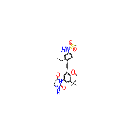 CCc1cc(NS(C)(=O)=O)ccc1C#Cc1cc(N2C(=O)CCNC2=O)cc(C(C)(C)C)c1OC